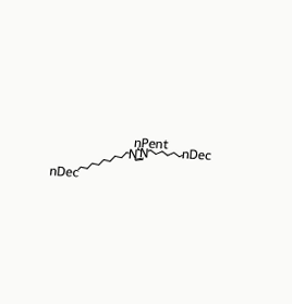 CCCCCCCCCCCCCCCCCCCN1C=CN(CCCCCCCCCCCCCCCC)C1CCCCC